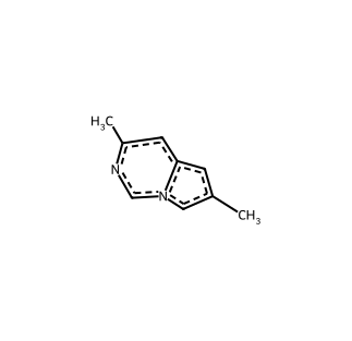 Cc1cc2cc(C)ncn2c1